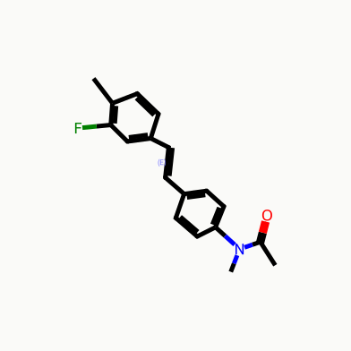 CC(=O)N(C)c1ccc(/C=C/c2ccc(C)c(F)c2)cc1